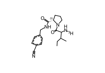 [3H]NC(C(=O)N1CCC[C@H]1C(=O)NCc1ccc(C#N)cc1)C(C)CC